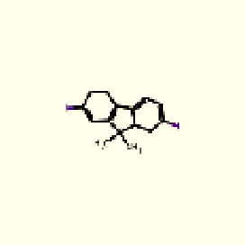 CC1(C)C2=C(CCC(I)=C2)C2=CC=C(I)CC21